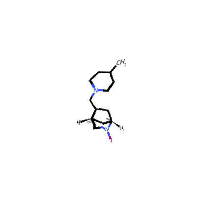 CC1CCN(CC2C[C@H]3C[C@@H]2CN3I)CC1